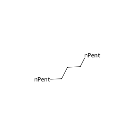 [CH2]CCCCCCCCCCCC